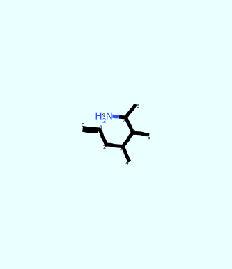 C=CCC(C)C(C)C(C)N